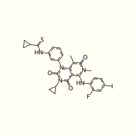 Cc1c(=O)n(C)c(Nc2ccc(I)cc2F)c2c(=O)n(C3CC3)c(=O)n(-c3cccc(NC(=S)C4CC4)c3)c12